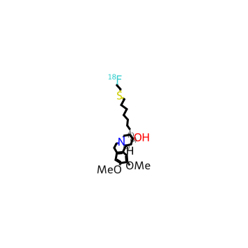 COc1cc2c(cc1OC)[C@@H]1C[C@H](O)[C@@H](CCCCCCCSCC[18F])CN1CC2